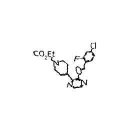 CCOC(=O)CN1CCC(c2nccnc2OCc2ccc(Cl)cc2F)CC1